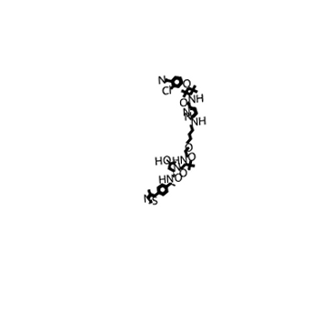 Cc1ncsc1-c1ccc([C@H](C)NC(=O)[C@@H]2C[C@@H](O)CN2C(=O)C(NC(=O)COCCCCCNc2ccc(C(=O)NC3C(C)(C)C(Oc4ccc(C#N)c(Cl)c4)C3(C)C)nn2)C(C)(C)C)cc1